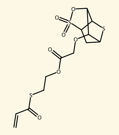 C=CC(=O)SCCOC(=O)COC1C2CC3C(S2)C1OS3(=O)=O